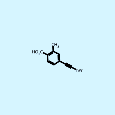 CCCC#Cc1ccc(C(=O)O)c(C)c1